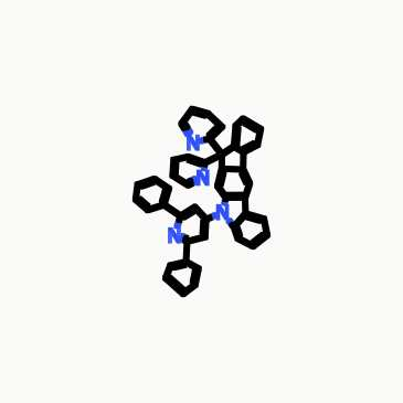 c1ccc(-c2cc(-n3c4ccccc4c4cc5c(cc43)C(c3ccccn3)(c3ccccn3)c3ccccc3-5)cc(-c3ccccc3)n2)cc1